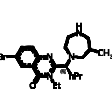 CCC[C@@H](c1nc2ccc(Br)cc2c(=O)n1CC)N1CCNCC(C)C1